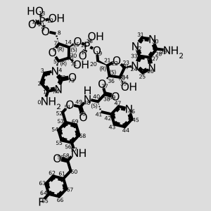 Nc1ccn([C@@H]2O[C@H](COP(=O)(O)O)[C@@H](OP(=O)(O)OC[C@H]3O[C@@H](n4cnc5c(N)ncnc54)[C@H](O)[C@@H]3OC(=O)[C@H](Cc3cccnc3)NC(=O)OCc3ccc(NC(=O)Cc4ccc(F)cc4)cc3)[C@H]2O)c(=O)n1